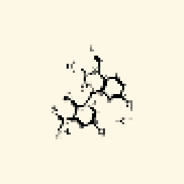 CN(C)N(C=O)c1ccc(Cl)cc1Cn1cc(Cl)cc(C(N)=O)c1=N.Cl